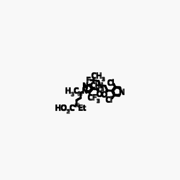 CC[C@@H](CC[C@H](C)n1ncc(C(=O)N(CC(=O)c2c(Cl)cncc2Cl)CC(C)(C)F)c1C(F)(F)F)C(=O)O